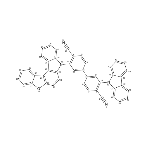 N#Cc1ccc(-c2ccc(C#N)c(-n3c4ccccc4c4c5c(ccc43)oc3ccccc35)c2)cc1-n1c2ccccc2c2ccccc21